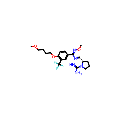 COCCCCOc1ccc(C(=N/OC)/N=C/[C@@H]2CCCN2C(=N)N)cc1C(F)(F)F